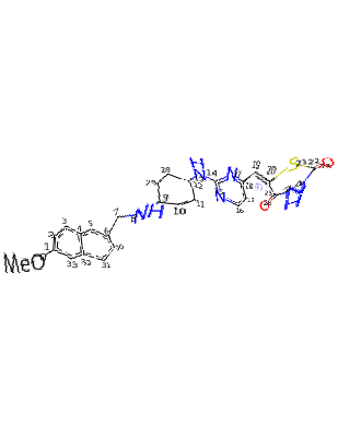 COc1ccc2cc(CNC3CCC(Nc4nccc(/C=C5/SC(=O)NC5=O)n4)CC3)ccc2c1